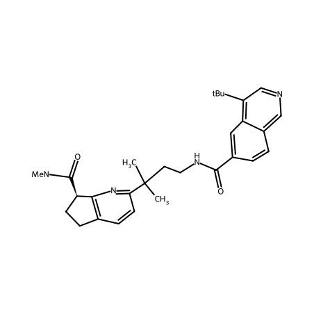 CNC(=O)[C@@H]1CCc2ccc(C(C)(C)CCNC(=O)c3ccc4cncc(C(C)(C)C)c4c3)nc21